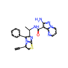 C#Cc1csc2nc(C(C)NC(=O)c3c(N)nn4cccnc34)c(-c3ccccc3)n12